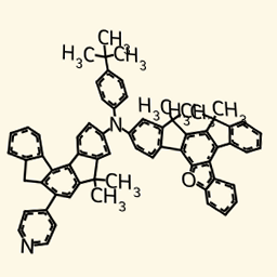 CC(C)(C)c1ccc(N(c2ccc3c(c2)C(C)(C)c2cc(-c4ccncc4)c4c(c2-3)-c2ccccc2C4)c2ccc3c(c2)C(C)(C)c2c4c(c5c(oc6ccccc65)c2-3)-c2ccccc2C4(C)C)cc1